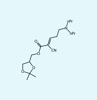 CCCN(CCC)CC/C=C(\C#N)C(=O)OCC1COC(C)(C)O1